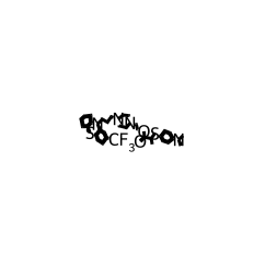 CC(Sc1ccc(N(C)C)cc1)C(=O)OCCN1CCN(CCCN2c3ccccc3Sc3ccc(C(F)(F)F)cc32)CC1